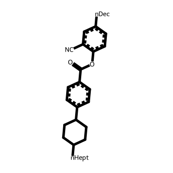 CCCCCCCCCCc1ccc(OC(=O)c2ccc(C3CCC(CCCCCCC)CC3)cc2)c(C#N)c1